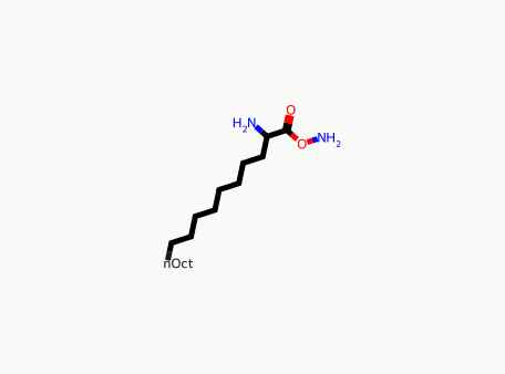 CCCCCCCCCCCCCCCCC(N)C(=O)ON